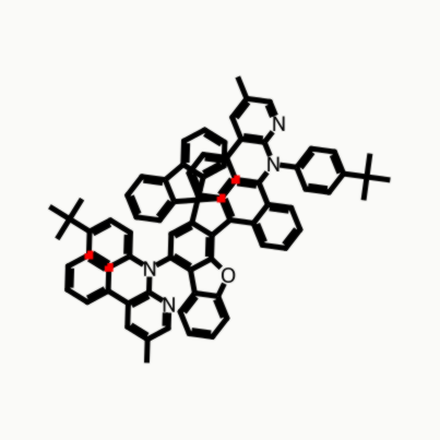 Cc1cnc(N(c2ccc(C(C)(C)C)cc2)c2cc3c(c4ccccc24)-c2c(cc(N(c4ccc(C(C)(C)C)cc4)c4ncc(C)cc4-c4ccccc4)c4c2oc2ccccc24)C32c3ccccc3-c3ccccc32)c(-c2ccccc2)c1